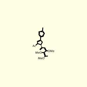 C=C(/C=C(OC)\C(OC)=C(/C)OC)[C@@H]1CC(c2ccc(C)cc2)=CC1C(C)=O